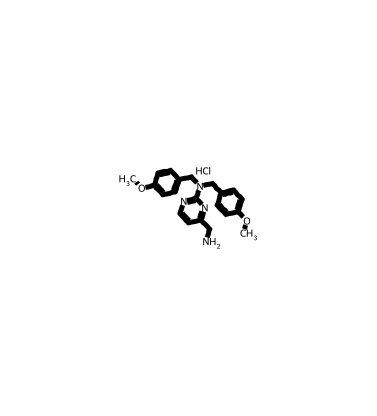 COc1ccc(CN(Cc2ccc(OC)cc2)c2nccc(CN)n2)cc1.Cl